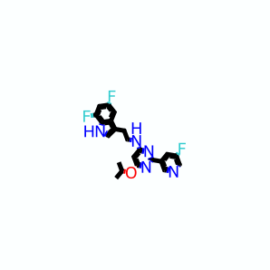 CC(C)Oc1cc(NCCc2c[nH]c3c(F)cc(F)cc23)nc(-c2cncc(F)c2)n1